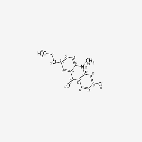 CCOc1ccc2c(c1)c(=O)c1ccc(Cl)cc1n2C